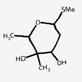 CSC1CC(O)C(C)(O)C(C)O1